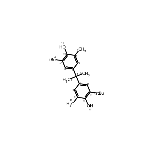 Cc1cc(C(C)(C)c2cc(C)c(O)c(C(C)(C)C)c2)cc(C(C)(C)C)c1O